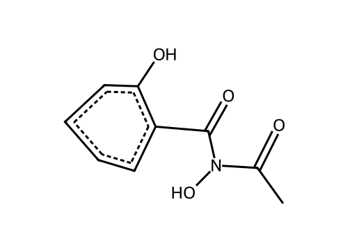 CC(=O)N(O)C(=O)c1ccccc1O